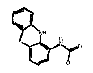 O=C(Cl)Nc1cccc2c1Nc1ccccc1S2